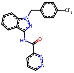 O=C(Nc1nn(Cc2ccc(C(F)(F)F)cc2)c2ccccc12)c1cccnn1